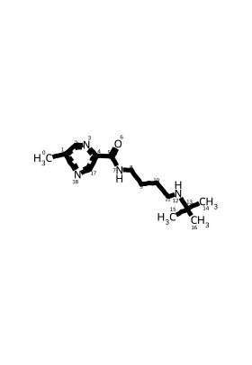 Cc1cnc(C(=O)NCCCCNC(C)(C)C)cn1